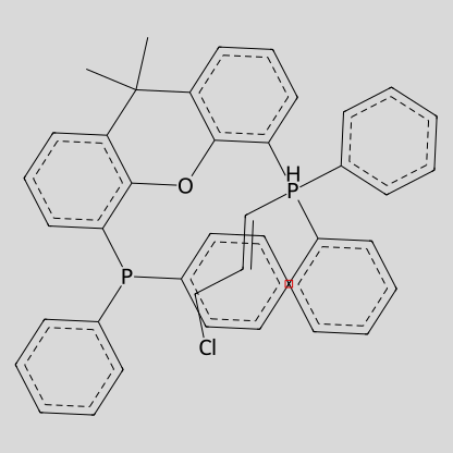 CC1(C)c2cccc(P(c3ccccc3)c3ccccc3)c2Oc2c1cccc2[PH](C=CCCl)(c1ccccc1)c1ccccc1